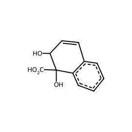 O=C(O)C1(O)c2ccccc2C=CC1O